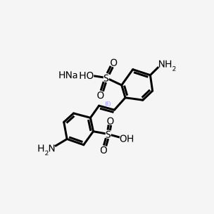 Nc1ccc(/C=C/c2ccc(N)cc2S(=O)(=O)O)c(S(=O)(=O)O)c1.[NaH]